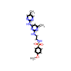 COc1ccc(S(=O)(=O)NCCNc2nc(C)cc(Nc3ncc(C)cn3)n2)cc1